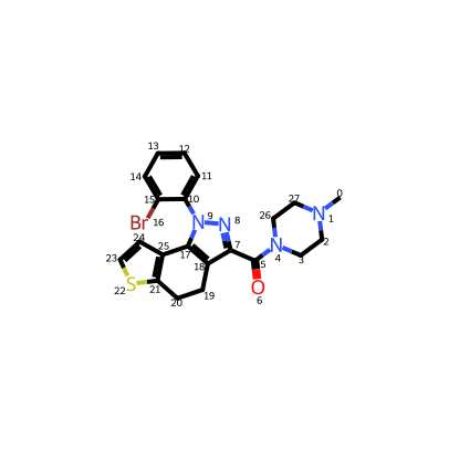 CN1CCN(C(=O)c2nn(-c3ccccc3Br)c3c2CCc2sccc2-3)CC1